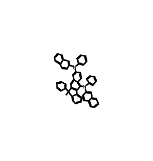 CC1(c2ccccc2)c2ccccc2-c2c1cc1cc(N(c3ccccc3)c3ccc4ccccc4c3)ccc1c2N(c1ccccc1)c1ccc2ccccc2c1